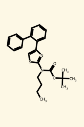 CCCCN(C(=O)OC(C)(C)C)c1nc(-c2ccccc2-c2ccccc2)cs1